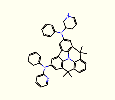 CC1(C)c2cccc3c2-n2c4c1cc(N(C1=CC=CCC1)c1ccccn1)cc4c1cc(N(c4ccccc4)C4CC=CNC4)cc(c12)C3(C)C